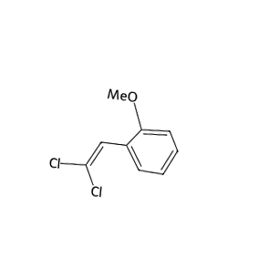 COc1ccccc1C=C(Cl)Cl